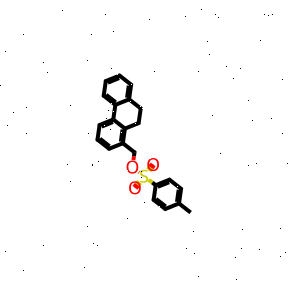 Cc1ccc(S(=O)(=O)OCc2cccc3c2CCc2ccccc2-3)cc1